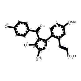 CCOC(=O)/C=C/c1cc(OC)ncc1-c1sc(C)c(C)c1C(=O)c1ccc(Cl)cc1